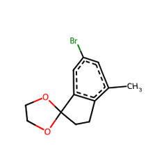 Cc1cc(Br)cc2c1CCC21OCCO1